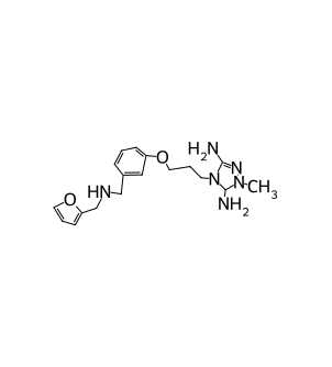 CN1N=C(N)N(CCCOc2cccc(CNCc3ccco3)c2)C1N